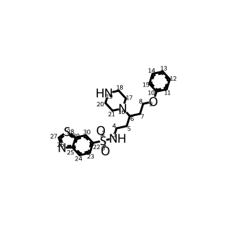 O=S(=O)(NCCC(CCOc1ccccc1)N1CCNCC1)c1ccc2ncsc2c1